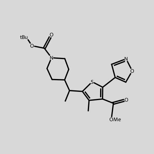 COC(=O)c1c(-c2cnoc2)sc(C(C)C2CCN(C(=O)OC(C)(C)C)CC2)c1C